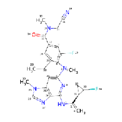 C=C(Nc1nc(N(C)c2c(F)cc(C(=O)N(C)CC#N)cc2CC)cc2c1ncn2C)[C@H]1C[C@H]1F